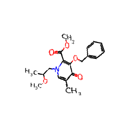 COC(=O)c1c(OCc2ccccc2)c(=O)c(C)cn1CC(C)OC